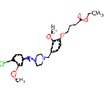 CCOC(=O)CCCOc1ccc(CN2CCN(c3ccc(Cl)c(OC)c3)CC2)cc1OC